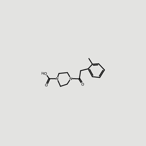 Cc1ccccc1CC(=O)N1CCN(C(=O)O)CC1